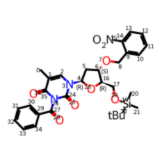 Cc1cn([C@H]2C[C@H](OCc3ccccc3[N+](=O)[O-])[C@@H](CO[Si](C)(C)C(C)(C)C)O2)c(=O)n(C(=O)c2ccccc2)c1=O